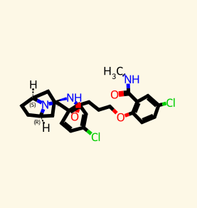 CNC(=O)c1cc(Cl)ccc1OCCCC(=O)N[C@H]1C[C@H]2CC[C@@H](C1)N2Cc1ccc(Cl)cc1